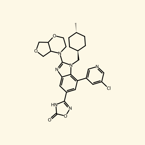 C[C@H]1CC[C@H](Cn2c(N3CCOC4COCC43)nc3cc(-c4noc(=O)[nH]4)cc(-c4cncc(Cl)c4)c32)CC1